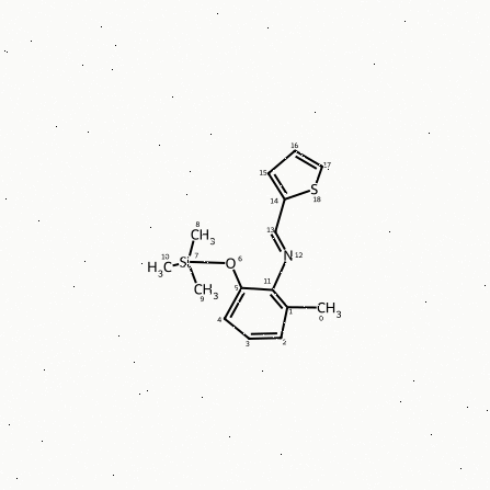 Cc1cccc(O[Si](C)(C)C)c1/N=C/c1cccs1